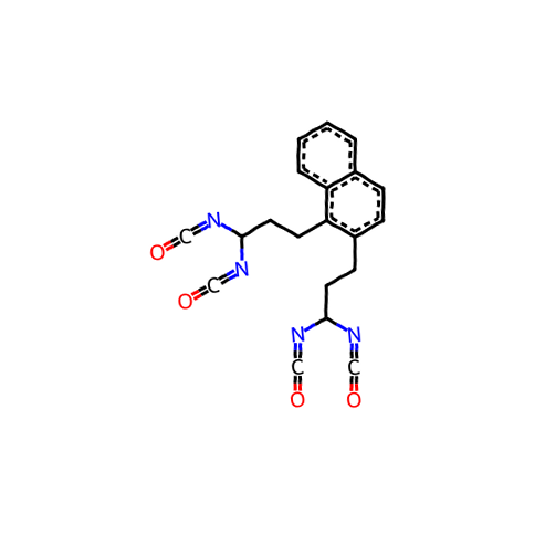 O=C=NC(CCc1ccc2ccccc2c1CCC(N=C=O)N=C=O)N=C=O